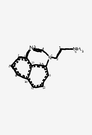 NCCN1C=Nc2cccc3cccc1c23